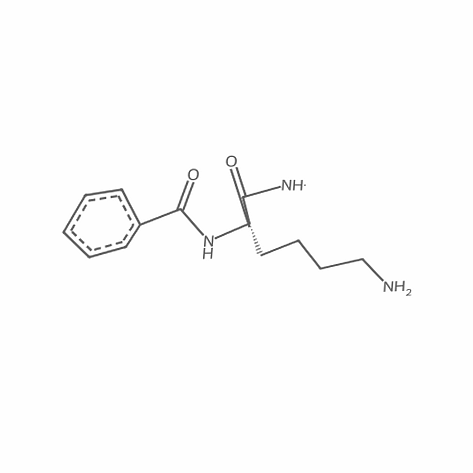 [NH]C(=O)[C@H](CCCCN)NC(=O)c1ccccc1